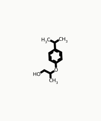 CC(CO)Oc1ccc(C(C)C)cc1